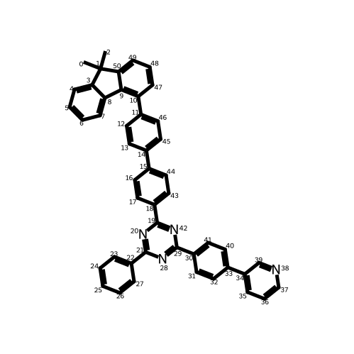 CC1(C)c2ccccc2-c2c(-c3ccc(-c4ccc(-c5nc(-c6ccccc6)nc(-c6ccc(-c7cccnc7)cc6)n5)cc4)cc3)cccc21